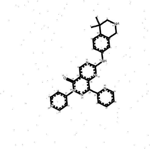 CC1(C)CNCc2cc(Nc3ncc4c(=O)n(-c5ccncc5)nc(-c5ccccn5)c4n3)ccc21